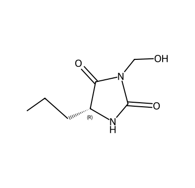 CCC[C@H]1NC(=O)N(CO)C1=O